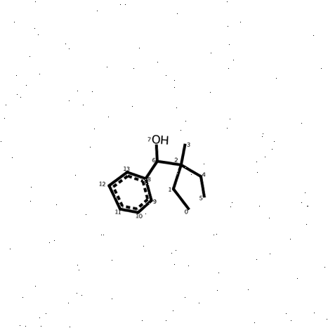 CCC(C)(CC)C(O)c1ccccc1